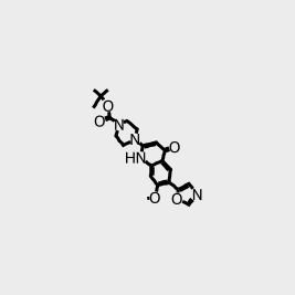 COc1cc2[nH]c(N3CCN(C(=O)OC(C)(C)C)CC3)cc(=O)c2cc1-c1cnco1